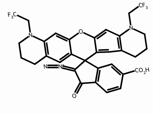 [N-]=[N+]=C1C(=O)c2ccc(C(=O)O)cc2C12c1cc3c(cc1Oc1cc4c(cc12)CCCN4CC(F)(F)F)N(CC(F)(F)F)CCC3